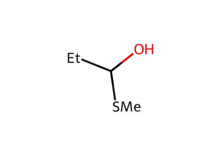 [CH2]CC(O)SC